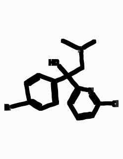 CN(C)CC(O)(c1ccc(Br)cc1)c1cccc(Cl)n1